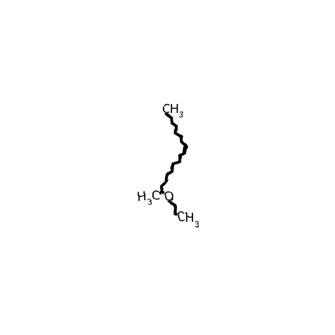 CCCCCCCC/C=C\CCCCCCCC(C)OCCCC